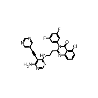 Nc1ncnc(NCCc2nc3cccc(Cl)c3c(=O)n2-c2cc(F)cc(F)c2)c1C#Cc1cncnc1